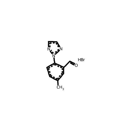 Br.Cc1ccc(-n2nccn2)c(C=O)c1